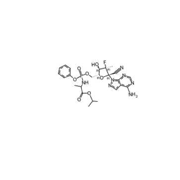 CC(C)OC(=O)C(C)NP(=O)(OC[C@H]1O[C@@](C#N)(n2ncc3c(N)ncnc32)[C@](C)(F)[C@@H]1O)Oc1ccccc1